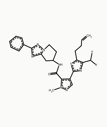 C=CCCc1sc(-c2cnn(C)c2C(=O)NC2CCn3nc(-c4ccccc4)nc3C2)nc1C(F)F